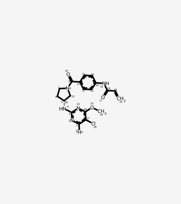 [2H]c1nc(N[C@@H]2CCN(C(=O)c3ccc(NC(=O)C=C)cc3)C2)nc(OC)c1Cl